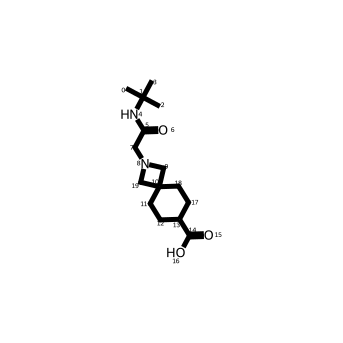 CC(C)(C)NC(=O)CN1CC2(CCC(C(=O)O)CC2)C1